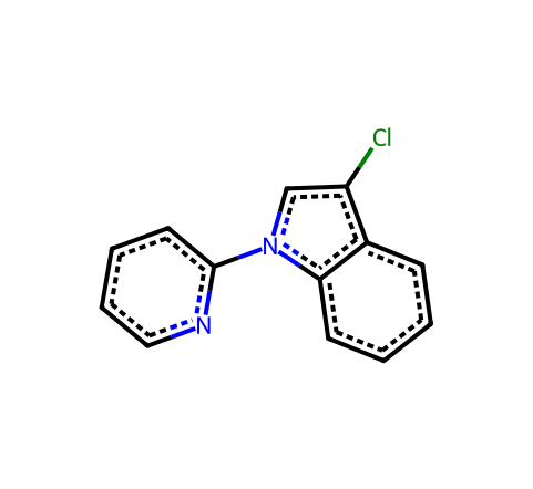 Clc1cn(-c2ccccn2)c2ccccc12